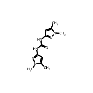 Cc1cc(NC(=O)Nc2cc(C)n(C)n2)nn1C